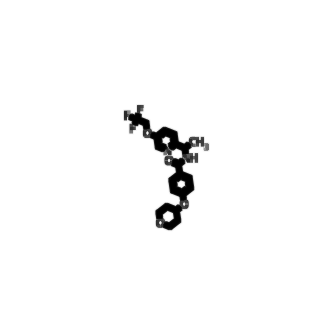 CC(NC(=O)c1ccc(OC2CCOCC2)cc1)c1ccc(OCC(F)(F)F)cn1